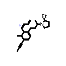 C=C/C=C\C1C(CCC(C)N2CCCC2CC)=CC=C(C#CC)C1C